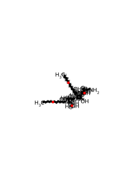 CCCCCCCCCCC[C@@H](O)CC(=O)NC1C(O)[C@H](O)C(CO[C@@H]2O[C@H](CO)[C@@H](OP(=O)(O)OP(=O)(O)OCCN)C(O)C2NC(=O)C[C@H](O)CCCCCCCCCCC)O[C@@H]1OP(=O)(O)O